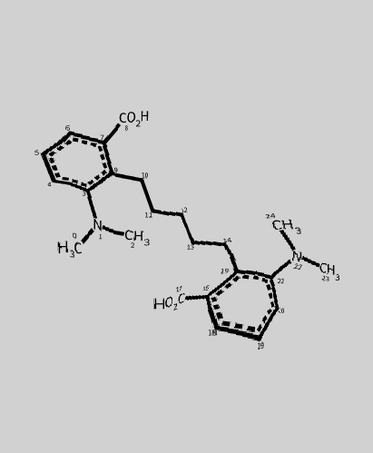 CN(C)c1cccc(C(=O)O)c1CCCCCc1c(C(=O)O)cccc1N(C)C